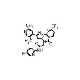 Cc1cc(-c2cc3n(CC(=O)Nc4ccc(F)cn4)c(=O)c4ccc(C(F)(F)F)nc4n3n2)c(C)cn1